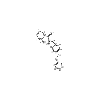 Nc1ncccc1C(=S)NCc1ccc(COc2ccccc2)cc1